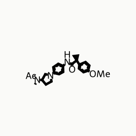 COc1ccc(C2(C(=O)Nc3ccc(N4CCC(N(C)C(C)=O)C4)cc3)CC2)cc1